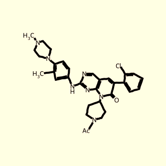 CC(=O)N1CCC(n2c(=O)c(-c3ccccc3Cl)cc3cnc(Nc4ccc(N5CCN(C)CC5)c(C)c4)nc32)CC1